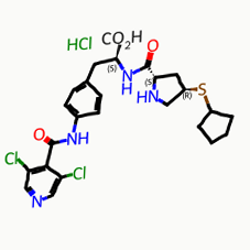 Cl.O=C(Nc1ccc(C[C@H](NC(=O)[C@@H]2C[C@@H](SC3CCCC3)CN2)C(=O)O)cc1)c1c(Cl)cncc1Cl